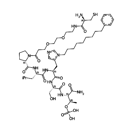 CC(C)C[C@H](NC(=O)[C@@H]1CCCN1C(=O)CCOCCOCCNC(=O)[C@@H](N)CS)C(=O)N[C@@H](Cc1cncn1CCCCCCCCCc1ccccc1)C(=O)N[C@@H](CO)C(=O)N[C@H](C(N)=O)[C@@H](C)OP(=O)(O)O